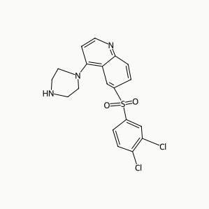 O=S(=O)(c1ccc(Cl)c(Cl)c1)c1ccc2nccc(N3CCNCC3)c2c1